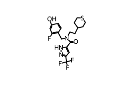 O=C(c1cc(C(F)(F)F)n[nH]1)N(CCC1CCSCC1)Cc1ccc(O)cc1F